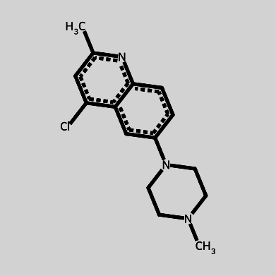 Cc1cc(Cl)c2cc(N3CCN(C)CC3)ccc2n1